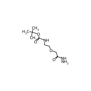 CC(C)(C)OC(=O)NCCOCC(=O)NN